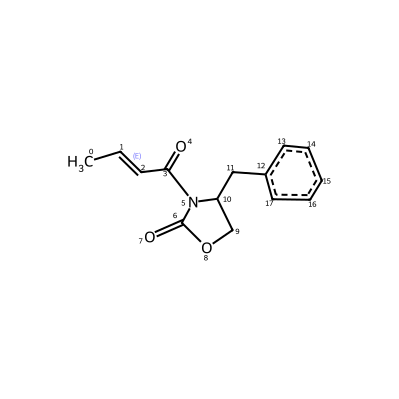 C/C=C/C(=O)N1C(=O)OCC1Cc1ccccc1